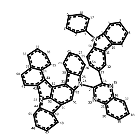 c1ccc(-n2c3ccccc3c3cc(-c4nc5ccccc5nc4-n4c5ccccc5c5c6c7c8ccccc8ccc7n7c8ccccc8c(cc54)c67)ccc32)cc1